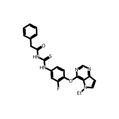 CCn1ccc2ncnc(Oc3ccc(NC(=S)NC(=O)Cc4ccccc4)cc3F)c21